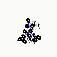 CC(C)(C)c1cc2c3c(c1)N(c1ccccc1)c1ccccc1B3c1cc3c(cc1O2)N(c1ccc2c4ccccc4c4ccccc4c2c1)c1cc(C(C)(C)C)cc2c1B3c1ccccc1N2c1ccc2c3ccccc3c3ccccc3c2c1